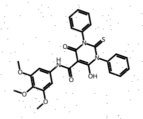 COc1cc(NC(=O)c2c(O)n(-c3ccccc3)c(=S)n(-c3ccccc3)c2=O)cc(OC)c1OC